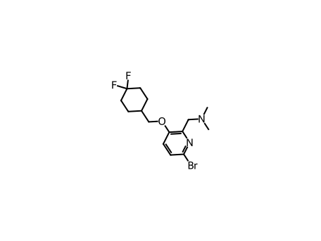 CN(C)Cc1nc(Br)ccc1OCC1CCC(F)(F)CC1